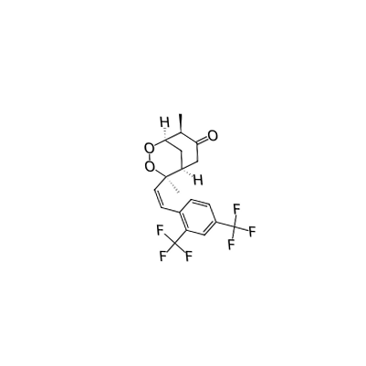 C[C@H]1C(=O)C[C@@H]2C[C@H]1OO[C@]2(C)/C=C\c1ccc(C(F)(F)F)cc1C(F)(F)F